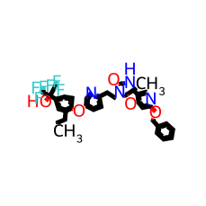 CCCc1cc(C(O)(C(F)(F)F)C(F)(F)F)ccc1Oc1ccc(CCN2C(=O)NC(C)(c3ccc(OCc4ccccc4)nc3)C2=O)nc1